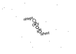 CCCCCCCC1CCC(OC(=O)c2ccc(-c3ncc(CCCCC)cn3)cc2F)CC1